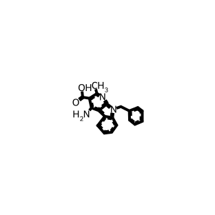 Cc1nc2c(c(N)c1C(=O)O)c1ccccc1n2Cc1ccccc1